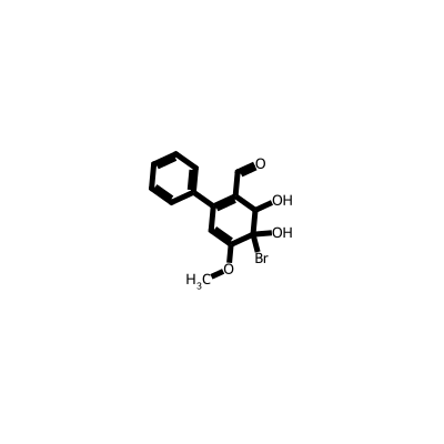 COC1=CC(c2ccccc2)=C(C=O)C(O)C1(O)Br